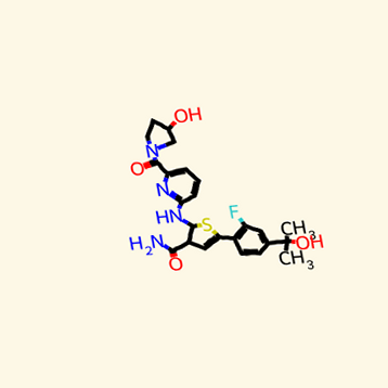 CC(C)(O)c1ccc(C2=CC(C(N)=O)C(Nc3cccc(C(=O)N4CCC(O)C4)n3)S2)c(F)c1